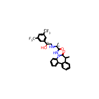 CC1C(=O)N(NC(=O)[C@H](C)NC[C@@H](O)c2cc(C(F)(F)F)cc(C(F)(F)F)c2)c2ccccc2-c2ccccc21